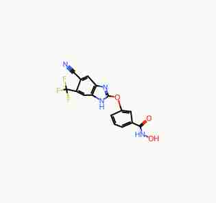 N#Cc1cc2nc(Oc3cccc(C(=O)NO)c3)[nH]c2cc1C(F)(F)F